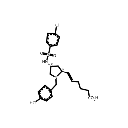 O=C(O)CCCC=C[C@@H]1C[C@@H](NS(=O)(=O)c2ccc(Cl)cc2)CN1Cc1ccc(O)cc1